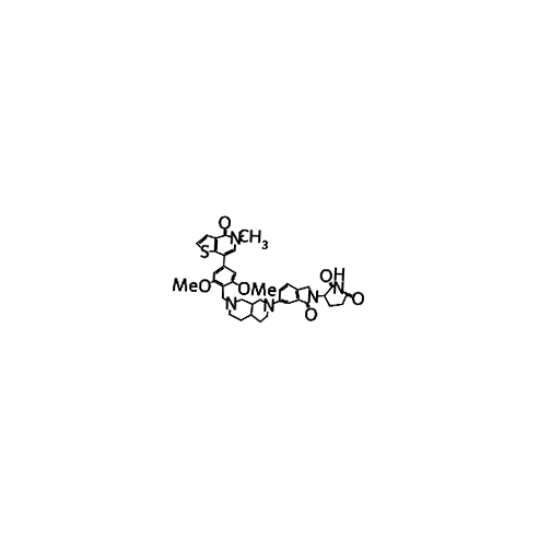 COc1cc(-c2cn(C)c(=O)c3ccsc23)cc(OC)c1CN1CCC2CCN(c3ccc4c(c3)C(=O)N(C3CCC(=O)NC3=O)C4)CC2C1